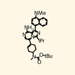 CNc1ccc(-c2nc(C(C)C)n3c(C4=CCC(N(C)C(=O)OC(C)(C)C)CC4)cnc(N)c23)c2ccccc12